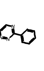 [c]1ccccc1-c1nccnn1